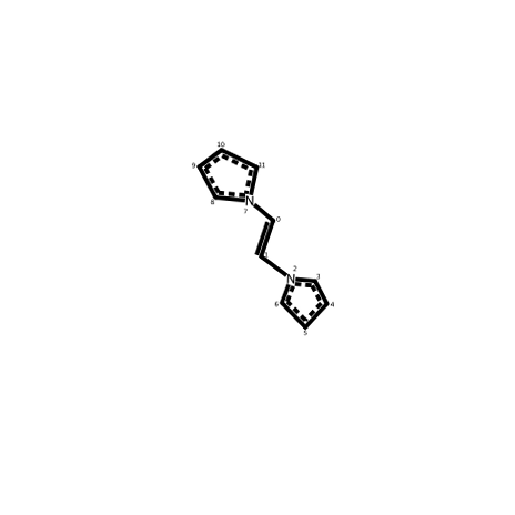 C(=Cn1cccc1)n1cccc1